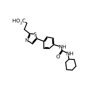 O=C(O)CCc1ncc(-c2ccc(NC(=O)NC3CCCCC3)cc2)s1